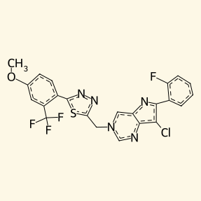 COc1ccc(-c2nnc(Cn3cnc4c(Cl)c(-c5ccccc5F)nc-4c3)s2)c(C(F)(F)F)c1